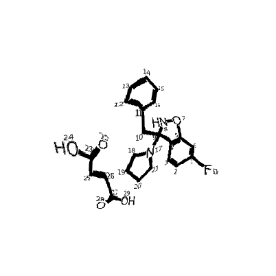 Fc1ccc2c(c1)ONC2(Cc1ccccc1)N1CCCC1.O=C(O)C=CC(=O)O